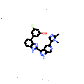 Cc1ncc(-c2cc3c(-c4nc5c(-c6cc(O)cc(F)c6)cccc5[nH]4)n[nH]c3cn2)n1C